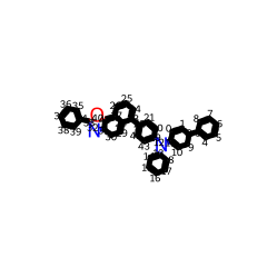 C1=CC(c2ccccc2)CC=C1N(c1ccccc1)c1ccc(-c2cccc3c2=CCC2N=C(c4ccccc4)OC=32)cc1